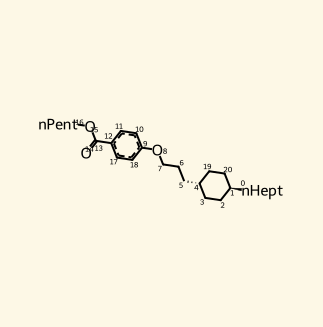 CCCCCCC[C@H]1CC[C@H](CCCOc2ccc(C(=O)OCCCCC)cc2)CC1